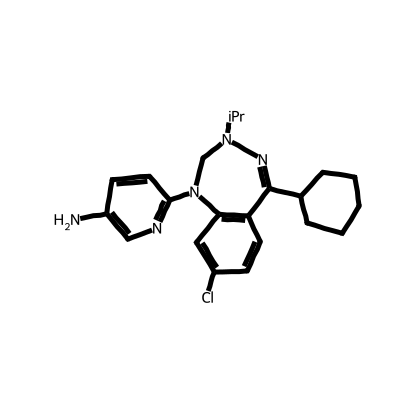 CC(C)N1CN(c2ccc(N)cn2)c2cc(Cl)ccc2C(C2CCCCC2)=N1